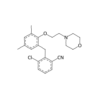 Cc1cc(C)c(OCCN2CCOCC2)c(Cc2c(Cl)cccc2C#N)c1